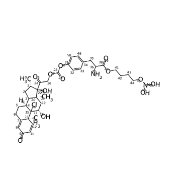 C[C@H]1CC2[C@@H]3CCC4=CC(=O)C=C[C@]4(C)C3(Cl)[C@@H](O)C[C@]2(C)[C@@]1(O)C(=O)COC(=O)Oc1ccc(CC(N)C(=O)OCCCCON(O)O)cc1